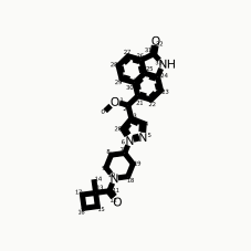 COC(c1cnn(C2CCN(C(=O)C3(C)CCC3)CC2)c1)c1ccc2c3c(cccc13)C(=O)N2